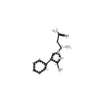 CC(=N)C[C@H](C)n1cc(-c2ccccc2)c(O)n1